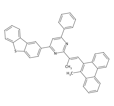 C/C(=C\c1c(C)c2ccccc2c2ccccc12)c1nc(-c2ccccc2)cc(-c2ccc3sc4ccccc4c3c2)n1